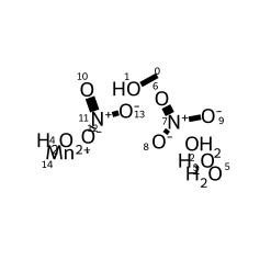 CO.O.O.O.O.O=[N+]([O-])[O-].O=[N+]([O-])[O-].[Mn+2]